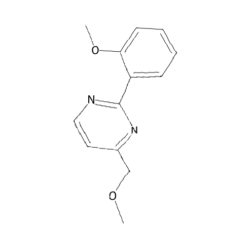 COCc1ccnc(-c2ccccc2OC)n1